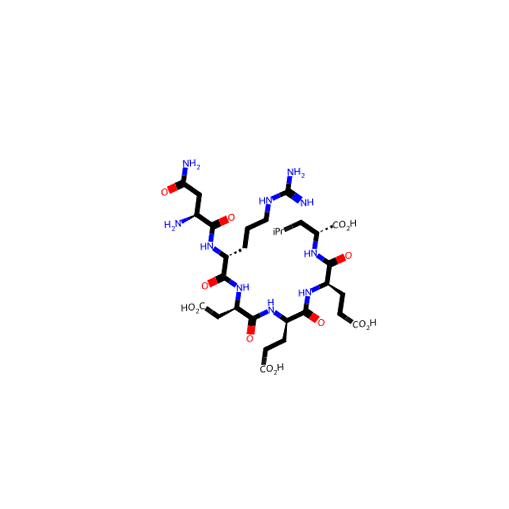 CC(C)C[C@@H](NC(=O)[C@@H](CCC(=O)O)NC(=O)[C@@H](CCC(=O)O)NC(=O)[C@@H](CC(=O)O)NC(=O)[C@@H](CCCNC(=N)N)NC(=O)[C@@H](N)CC(N)=O)C(=O)O